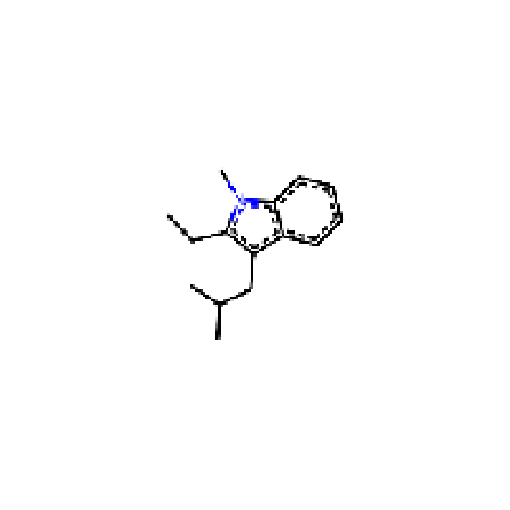 CCc1c(CC(C)C)c2ccccc2n1C